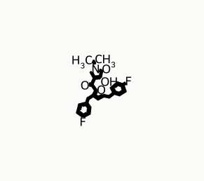 CC(C)N1CC(C(=O)c2oc(Cc3ccc(F)cc3)cc2Cc2ccc(F)cc2)=C(O)C1=O